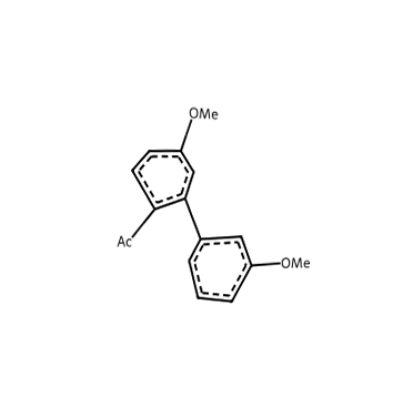 COc1cccc(-c2cc(OC)ccc2C(C)=O)c1